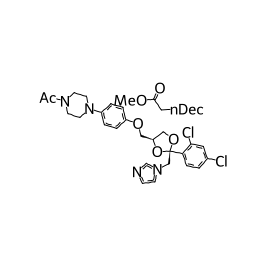 CC(=O)N1CCN(c2ccc(OC[C@H]3CO[C@](Cn4ccnc4)(c4ccc(Cl)cc4Cl)O3)cc2)CC1.CCCCCCCCCCCC(=O)OC